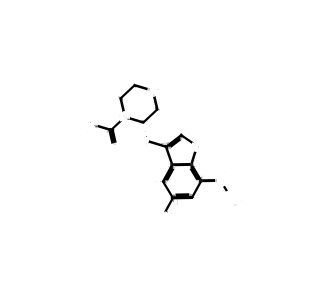 NC(=S)N1CCOC[C@@H]1Cc1c[nH]c2c(OC(F)(F)F)cc(Cl)cc12